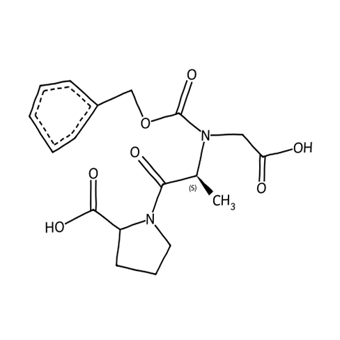 C[C@@H](C(=O)N1CCCC1C(=O)O)N(CC(=O)O)C(=O)OCc1ccccc1